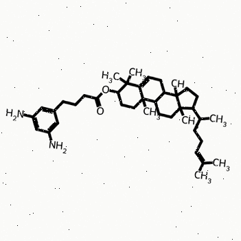 CC(C)=CCCC(C)C1CCC2(C)C3CC=C4C(C)(C)C(OC(=O)CCCc5cc(N)cc(N)c5)CCC4(C)C3CCC12C